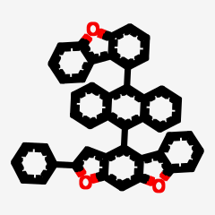 c1ccc(-c2cc3c(-c4c5ccccc5c(-c5cccc6oc7ccccc7c56)c5ccccc45)c4c(cc3o2)oc2ccccc24)cc1